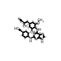 C#Cc1ccc(Nc2nc(Nc3c(C)cc(/C=C(\C)C#N)cc3OC)c3nc[nH]c3n2)cc1